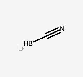 [BH]C#N.[Li]